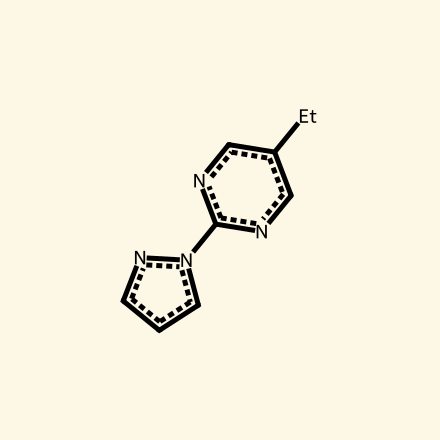 CCc1cnc(-n2cccn2)nc1